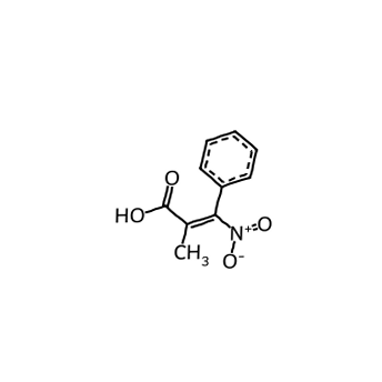 CC(C(=O)O)=C(c1ccccc1)[N+](=O)[O-]